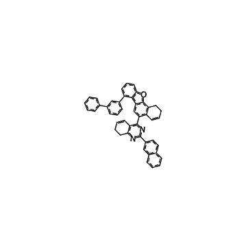 C1=Cc2c(nc(-c3ccc4ccccc4c3)nc2-c2cc3c(oc4cccc(-c5cccc(-c6ccccc6)c5)c43)c3c2C=CCC3)CC1